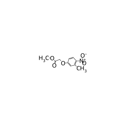 COC(=O)COc1ccc([N+](=O)[O-])c(C)c1